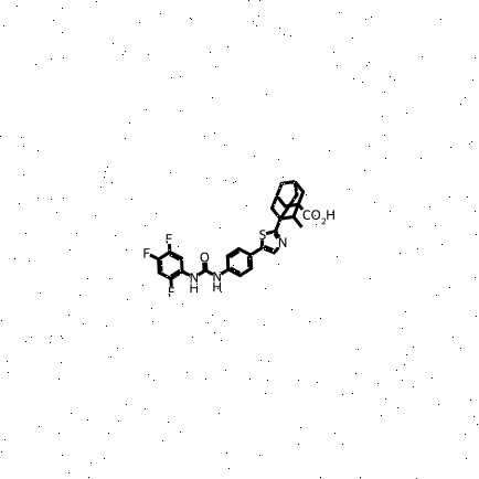 CC1C2(C(=O)O)CC3CC(C2)CC1(c1ncc(-c2ccc(NC(=O)Nc4cc(F)c(F)cc4F)cc2)s1)C3